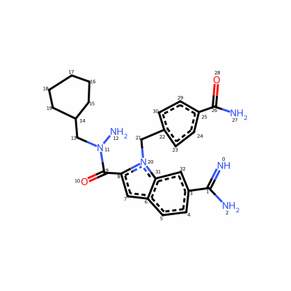 N=C(N)c1ccc2cc(C(=O)N(N)CC3CCCCC3)n(Cc3ccc(C(N)=O)cc3)c2c1